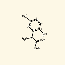 COC(=O)C(C)c1cc(C=O)ccc1O